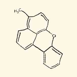 Cc1ccc2c3c(cccc13)-c1ccccc1O2